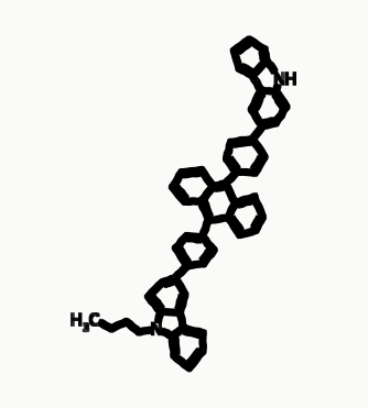 CCCCn1c2ccccc2c2cc(-c3ccc(-c4c5ccccc5c(-c5ccc(-c6ccc7[nH]c8ccccc8c7c6)cc5)c5ccccc45)cc3)ccc21